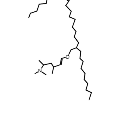 CCCCC/C=C\C/C=C\CCCCCCCCC(CCCCCCCCCC)CO/C=C/C(C)CC(C)N(C)C